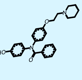 O=C(c1ccccc1)N(c1ccc(O)cc1)c1ccc(OCCN2CCCCC2)cc1